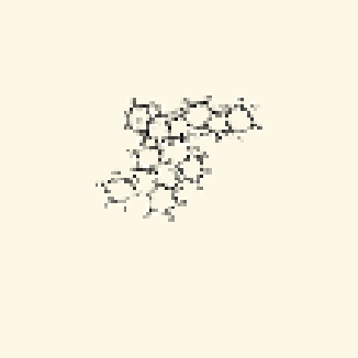 c1ccc(-c2nc(-c3ccccc3)nc(-c3c(-c4ccccc4)cccc3-n3c4ccccc4c4ccc5c6ccccc6sc5c43)n2)cc1